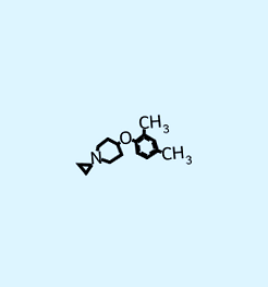 Cc1ccc(OC2CCN(C3CC3)CC2)c(C)c1